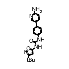 CC(C)(C)c1cc(NC(=O)Nc2ccc(-c3ccc(N)nc3)cc2)on1